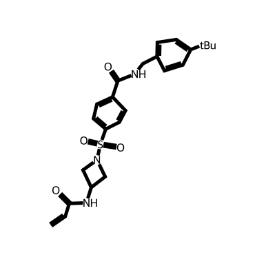 C=CC(=O)NC1CN(S(=O)(=O)c2ccc(C(=O)NCc3ccc(C(C)(C)C)cc3)cc2)C1